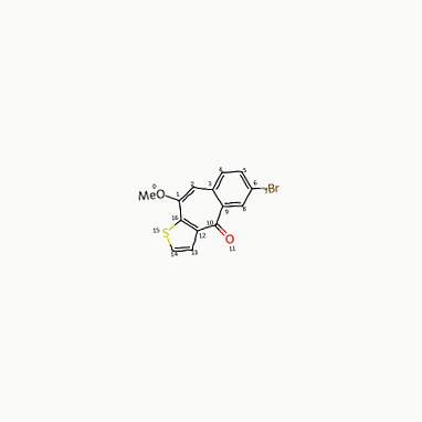 COc1cc2ccc(Br)cc2c(=O)c2ccsc12